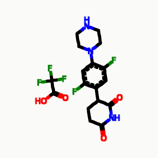 O=C(O)C(F)(F)F.O=C1CCC(c2cc(F)c(N3CCNCC3)cc2F)C(=O)N1